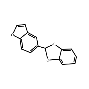 [c]1ccc2c(c1)OC(c1ccc3occc3c1)O2